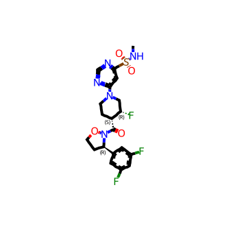 CNS(=O)(=O)c1cc(N2CC[C@@H](C(=O)N3OCC[C@@H]3c3cc(F)cc(F)c3)[C@@H](F)C2)ncn1